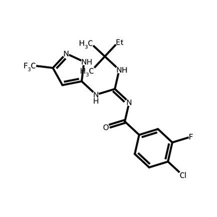 CCC(C)(C)N/C(=N/C(=O)c1ccc(Cl)c(F)c1)Nc1cc(C(F)(F)F)n[nH]1